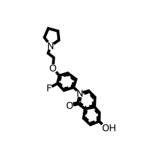 O=c1c2ccc(O)cc2ccn1-c1ccc(OCCN2CCCC2)c(F)c1